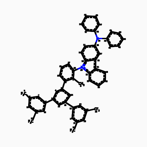 Cc1c(-c2cc(-c3cc(C(F)(F)F)cc(C(F)(F)F)c3)cc(-c3cc(C(F)(F)F)cc(C(F)(F)F)c3)c2)cccc1-n1c2ccccc2c2cc(N(c3ccccc3)c3ccccc3)ccc21